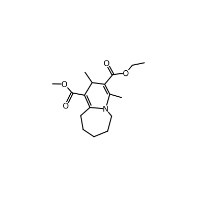 CCOC(=O)C1=C(C)N2CCCCCC2=C(C(=O)OC)C1C